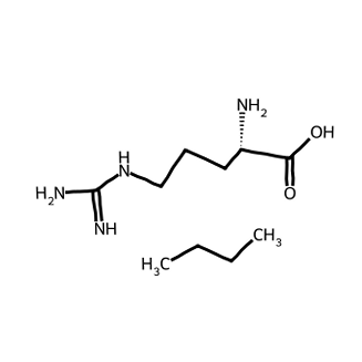 CCCC.N=C(N)NCCC[C@H](N)C(=O)O